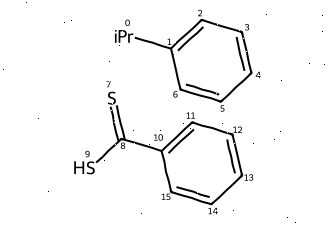 CC(C)c1ccccc1.S=C(S)c1ccccc1